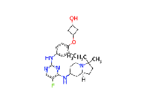 Cc1cc(Nc2ncc(F)c(N[C@H]3CCN4[C@@H](CCC4(C)C)C3)n2)ccc1OC1CC(O)C1